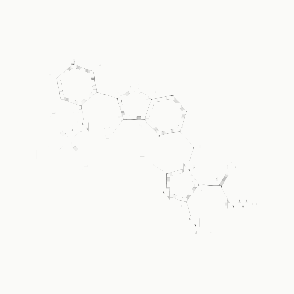 CCc1nc(N)c(C(=O)NC)n1Cc1ccc2oc(-c3ccccc3NS(=O)(=O)C(F)(F)F)c(Br)c2c1